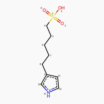 O=S(=O)(O)CCCCCc1[c][nH][c]c1